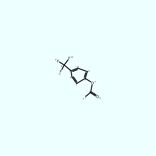 O=C(I)Oc1ccc(C(F)(F)F)cc1